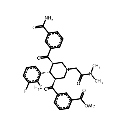 COC(=O)c1cccc(C(=O)[C@@H]2CN(CC(=O)N(C)C)C[C@H](C(=O)c3cccc(C(N)=O)c3)[C@H]2c2cccc(F)c2C)c1